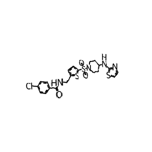 O=C(NCc1ccc(S(=O)(=O)N2CCC(Nc3nccs3)CC2)s1)c1ccc(Cl)cc1